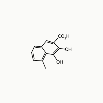 Cc1cccc2cc(C(=O)O)c(O)c(O)c12